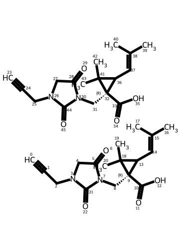 C#CCN1CC(=O)N(C[C@@]2(C(=O)O)C(C=C(C)C)C2(C)C)C1=O.C#CCN1CC(=O)N(C[C@@]2(C(=O)O)C(C=C(C)C)C2(C)C)C1=O